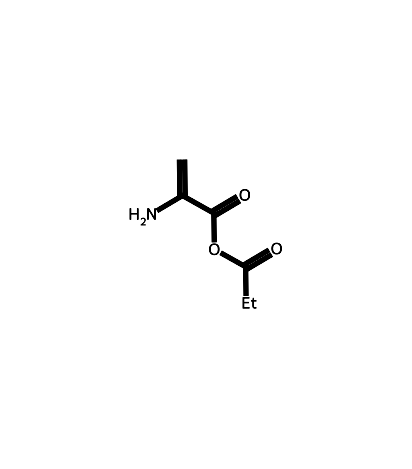 C=C(N)C(=O)OC(=O)CC